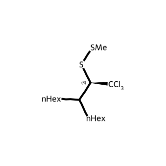 CCCCCCC(CCCCCC)[C@@H](SSC)C(Cl)(Cl)Cl